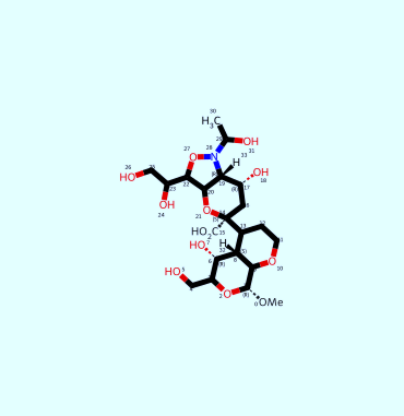 CO[C@@H]1OC(CO)[C@H](O)[C@H]2C1OCCC2[C@]1(C(=O)O)C[C@@H](O)[C@@H]2C(O1)C(C(O)CO)ON2C(C)O